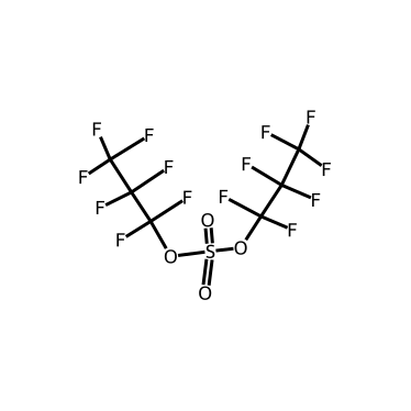 O=S(=O)(OC(F)(F)C(F)(F)C(F)(F)F)OC(F)(F)C(F)(F)C(F)(F)F